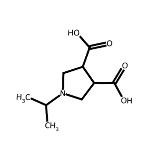 CC(C)N1CC(C(=O)O)C(C(=O)O)C1